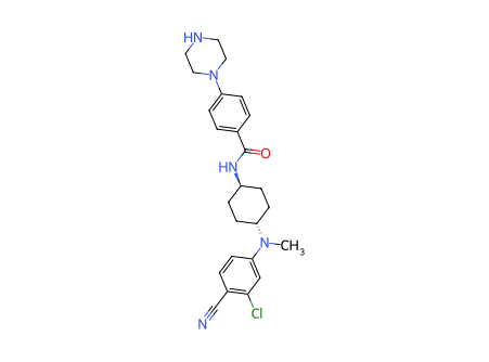 CN(c1ccc(C#N)c(Cl)c1)[C@H]1CC[C@H](NC(=O)c2ccc(N3CCNCC3)cc2)CC1